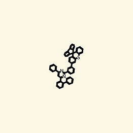 c1ccc(-c2cc(-c3ccccc3-c3ccccc3)nc(-c3cccc(-c4ccc5c(c4)Sc4ccccc4C54c5ccccc5-c5ccccc54)c3)n2)cc1